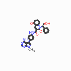 Cn1cc(-c2ccc(NC(=O)c3cc4c(n([C@@H](CO)c5ccccc5)c3=O)CCCC4=O)cc2)c2c(N)ncnc21